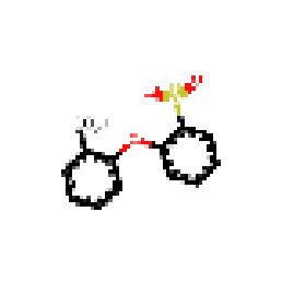 O=C(O)c1ccccc1Oc1ccccc1[SH](=O)=O